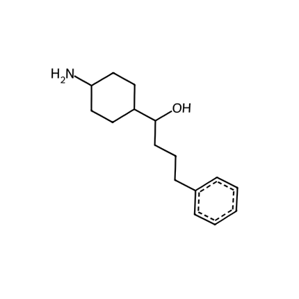 NC1CCC(C(O)CCCc2ccccc2)CC1